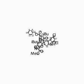 CCC(C)C(NC(=O)OCc1ccccc1)C(=O)NC1(C(=O)N[C@H](c2nc(C(=O)OC)no2)C(C)CC)CCc2[nH]c3c(Cl)cc(Cl)cc3c2C1